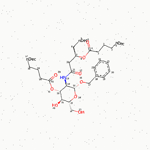 CCCCCCCCCCCCCC(=O)OC(CCCCCCCCCCC)CC(=O)N[C@H]1[C@H](OCc2ccccc2)O[C@H](CO)[C@@H](O)[C@@H]1OC(=O)CCCCCCCCCCCCC